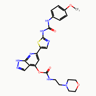 O=C(Nc1ccc(OC(F)(F)F)cc1)Nc1ncc(-c2cc(OC(=O)NCCN3CCOCC3)c3cn[nH]c3n2)s1